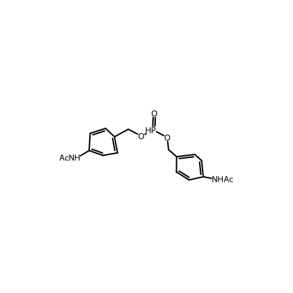 CC(=O)Nc1ccc(CO[PH](=O)OCc2ccc(NC(C)=O)cc2)cc1